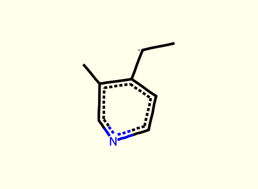 C[CH]c1ccncc1C